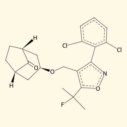 CC(C)(F)c1onc(-c2c(Cl)cccc2Cl)c1CO[C@@H]1C[C@H]2CC[C@@H](C1)C2=O